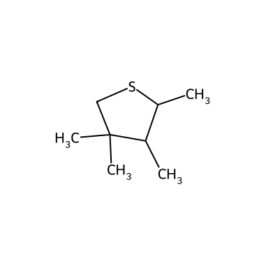 CC1SCC(C)(C)C1C